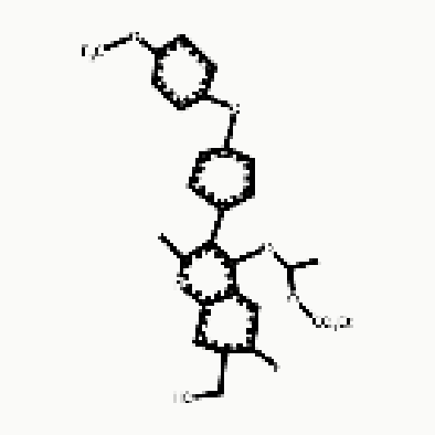 CCOC(=O)OC(C)Oc1c(-c2ccc(Oc3ccc(OC(F)(F)F)cc3)cc2)c(C)nc2cc(CO)c(F)cc12